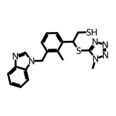 Cc1c(Cn2cnc3ccccc32)cccc1C(CS)Sc1nnnn1C